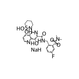 CN(C)S(=O)(=O)c1cc(F)ccc1CNC(=O)c1nc(N2CCCCS2(O)O)c2cccnc2c1O.[NaH]